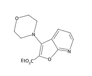 CCOC(=O)c1oc2ncccc2c1N1CCOCC1